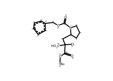 CCC(CC1CCCN1C(=O)OCc1ccccc1)(C(=O)O)C(=O)OC(C)(C)C